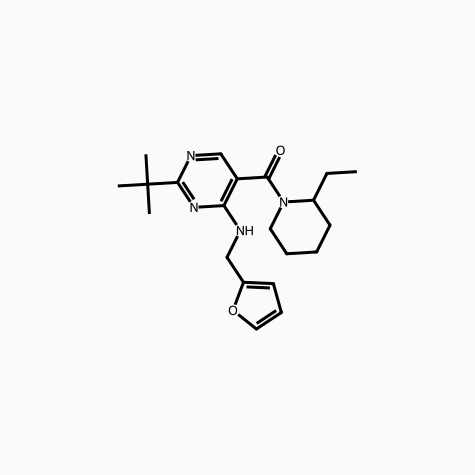 CCC1CCCCN1C(=O)c1cnc(C(C)(C)C)nc1NCc1ccco1